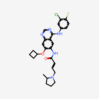 CC1CCCN1CC=CC(=O)Nc1cc2c(Nc3ccc(F)c(Cl)c3)ncnc2cc1OC1CCC1